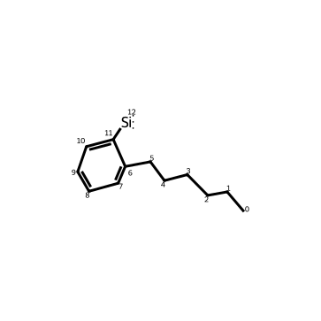 CCCCCCc1ccccc1[Si]